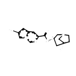 O=C(N[C@@H]1C[C@@H]2CCN(C2)C1)c1cc2cc(Br)cn2cn1